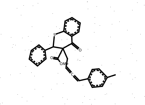 COC(=O)C1(CC=C=Cc2ccc(C)cc2)C(=O)c2ccccc2SC1c1ccccc1